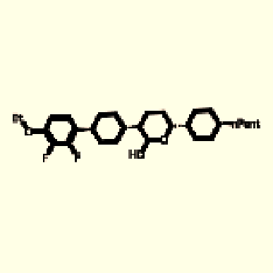 CCCCC[C@H]1CC[C@H](C2CCC([C@H]3CC[C@H](c4ccc(OCC)c(F)c4F)CC3)C(O)O2)CC1